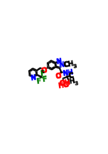 Cn1nc2ccc(OCc3cccnc3C(F)(F)F)cc2c1C(=O)NC(C)(CO)CO